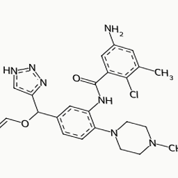 Cc1cc(N)cc(C(=O)Nc2cc(C(OC=O)c3c[nH]nn3)ccc2N2CCN(C)CC2)c1Cl